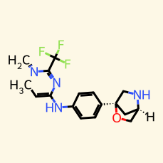 C=N/C(=N\C(=C/C)Nc1ccc([C@@]23CN[C@@H](CO2)C3)cc1)C(F)(F)F